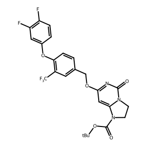 CC(C)(C)OC(=O)N1CCn2c1cc(OCc1ccc(Oc3ccc(F)c(F)c3)c(C(F)(F)F)c1)nc2=O